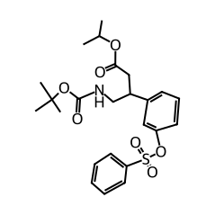 CC(C)OC(=O)CC(CNC(=O)OC(C)(C)C)c1cccc(OS(=O)(=O)c2ccccc2)c1